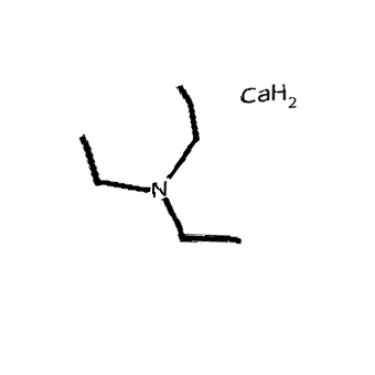 CCN(CC)CC.[CaH2]